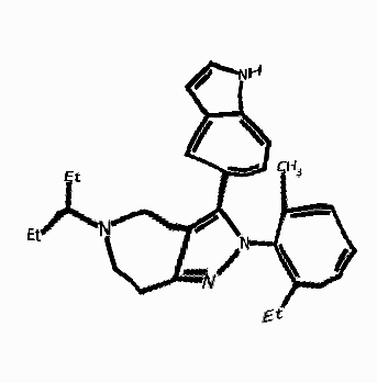 CCc1cccc(C)c1-n1nc2c(c1-c1ccc3[nH]ccc3c1)CN(C(CC)CC)CC2